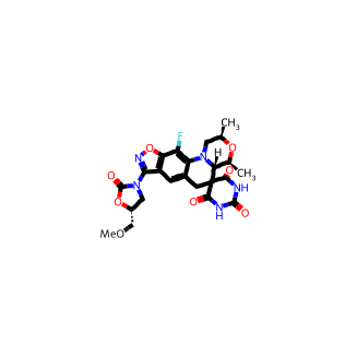 COC[C@H]1CN(c2noc3c(F)c4c(cc23)CC2(C(=O)NC(=O)NC2=O)[C@H]2[C@H](C)O[C@H](C)CN42)C(=O)O1